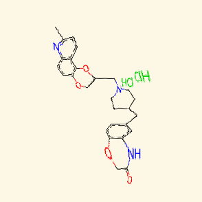 Cc1ccc2c3c(ccc2n1)OCC(CN1CCC(Cc2ccc4c(c2)NC(=O)CO4)CC1)O3.Cl.Cl